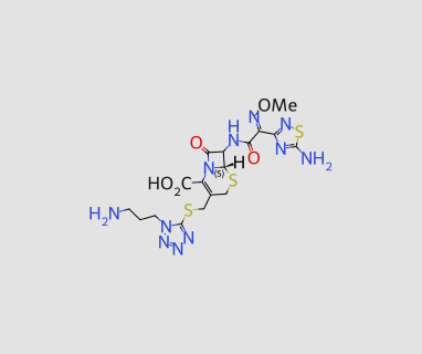 CON=C(C(=O)NC1C(=O)N2C(C(=O)O)=C(CSc3nnnn3CCCN)CS[C@@H]12)c1nsc(N)n1